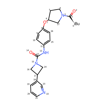 CC[C@H](C)C(=O)N1CCC(Oc2ccc(NC(=O)N3CC(c4cccnc4)C3)cc2)C1